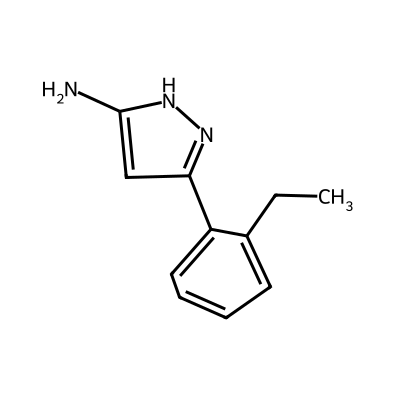 CCc1ccccc1-c1cc(N)[nH]n1